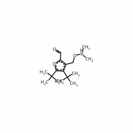 C[SiH](C)OCc1c(C=O)oc(C(C)(C)C)c1C(C)(C)C